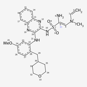 C=CN(C)/C=C(\N)S(=O)(=O)Nc1nc2ccccc2nc1Nc1cc(OC)ccc1CC1CCOCC1